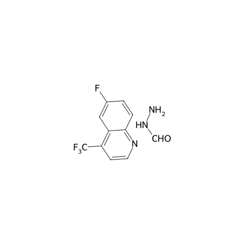 Fc1ccc2nccc(C(F)(F)F)c2c1.NNC=O